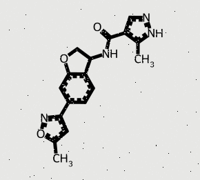 Cc1cc(-c2ccc3c(c2)OCC3NC(=O)c2cn[nH]c2C)no1